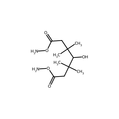 CC(C)(CC(=O)ON)C(O)C(C)(C)CC(=O)ON